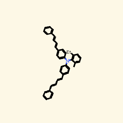 CCc1cccc(C)c1N(c1ccc(C=CC=Cc2ccccc2)cc1)c1ccc(C=CC=Cc2ccccc2)cc1